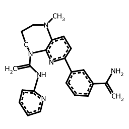 C=C(N)c1cccc(-c2ccc3c(n2)N(C(=C)Nc2ccccn2)CCCN3C)c1